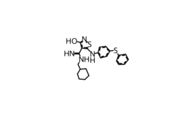 N=C(NCC1CCCCC1)c1c(O)nsc1Nc1ccc(Sc2ccccc2)cc1